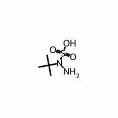 CC(C)(C)N(N)S(=O)(=O)O